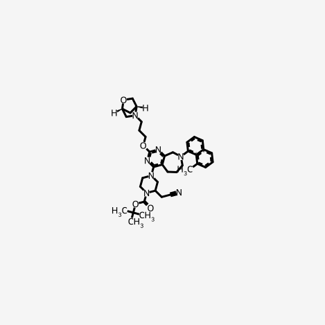 Cc1cccc2cccc(N3CCCc4c(nc(OCCCN5C[C@H]6C[C@@H]5CO6)nc4N4CCN(C(=O)OC(C)(C)C)C(CC#N)C4)C3)c12